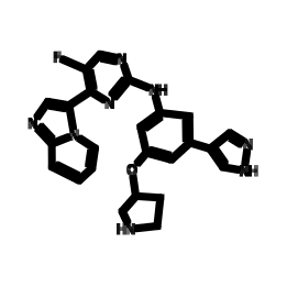 Fc1cnc(Nc2cc(OC3CCNC3)cc(-c3cn[nH]c3)c2)nc1-c1cnc2ccccn12